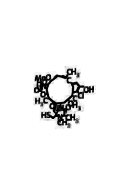 COC1/C=C/C=C(\C)Cc2cc(CO)c(Cl)c(c2)C(C)C(=O)CC(OC(=O)C(C)N(C)C(=O)CS)C2(C)OC2C(C)C2CC1(O)NC(=O)O2